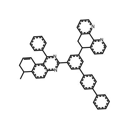 CC1CC=Cc2c1ccc1nc(-c3cc(-c4ccc(-c5ccccc5)cc4)cc(C4Cc5cccnc5-c5ncccc54)c3)nc(-c3ccccc3)c21